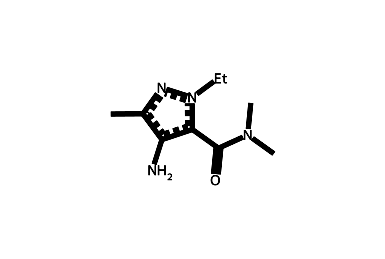 CCn1nc(C)c(N)c1C(=O)N(C)C